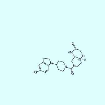 O=C1CO[C@H]2CCN(C(=O)N3CCC(N4CCc5cc(Cl)ccc54)CC3)CC2N1